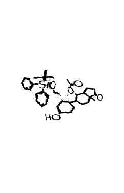 CC(=O)OC1C2CCC(=O)C2(C)CCC1[C@@]1(C)CC[C@H](O)C[C@@H]1CCO[Si](c1ccccc1)(c1ccccc1)C(C)(C)C